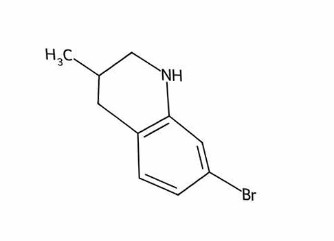 CC1CNc2cc(Br)ccc2C1